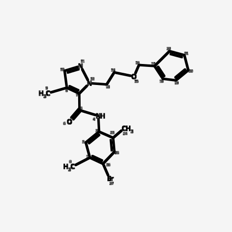 Cc1cc(NC(=O)c2c(C)cnn2CCOCc2ccccc2)c(C)cc1Br